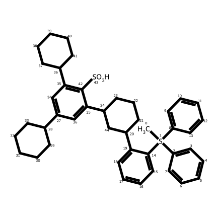 CS(c1ccccc1)(c1ccccc1)c1ccccc1C1CCCC(c2cc(C3CCCCC3)cc(C3CCCCC3)c2S(=O)(=O)O)C1